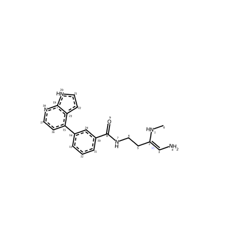 CN/C(=C\N)CCNC(=O)c1cccc(-c2ccnc3[nH]ccc23)c1